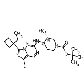 CCC1(c2nc(Cl)c3cnc(N[C@@H]4CCN(C(=O)OC(C)(C)C)C[C@H]4O)nn23)CCC1